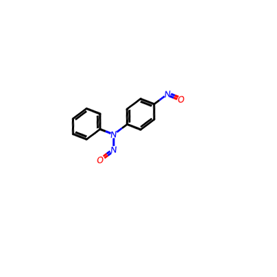 O=Nc1ccc(N(N=O)c2ccccc2)cc1